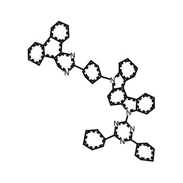 c1ccc(-c2nc(-c3ccccc3)nc(-n3c4ccccc4c4c5c6ccccc6n(-c6ccc(-c7ncc8c9ccccc9c9ccccc9c8n7)cc6)c5ccc43)n2)cc1